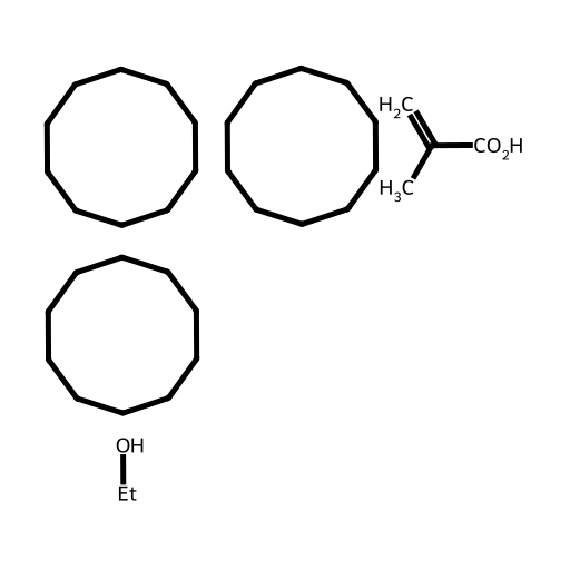 C1CCCCCCCCC1.C1CCCCCCCCC1.C1CCCCCCCCC1.C=C(C)C(=O)O.CCO